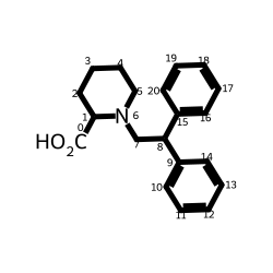 O=C(O)C1CCCCN1CC(c1ccccc1)c1ccccc1